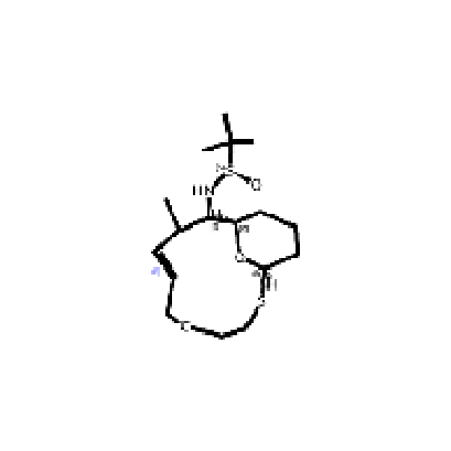 CC1/C=C/CCCCS[C@@H]2CCC[C@@H](O2)[C@@H]1N[S@+]([O-])C(C)(C)C